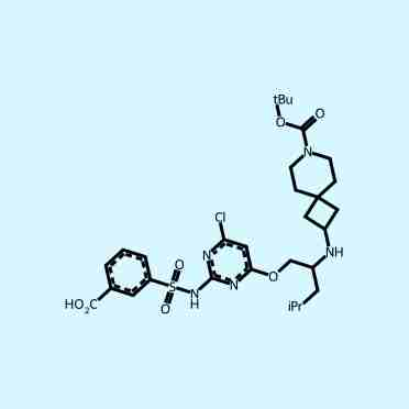 CC(C)CC(COc1cc(Cl)nc(NS(=O)(=O)c2cccc(C(=O)O)c2)n1)NC1CC2(CCN(C(=O)OC(C)(C)C)CC2)C1